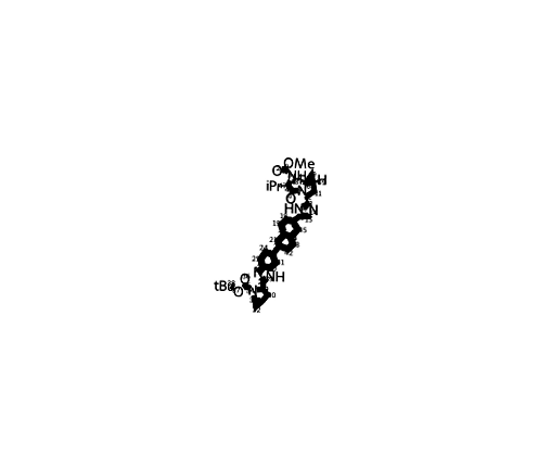 COC(=O)N[C@H](C(=O)N1[C@@H]2C[C@@H]2C[C@H]1c1ncc(-c2ccc3cc(-c4ccc5nc(C6CC7CC7N6C(=O)OC(C)(C)C)[nH]c5c4)ccc3c2)[nH]1)C(C)C